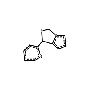 c1ccc(C2SCn3cccc32)nc1